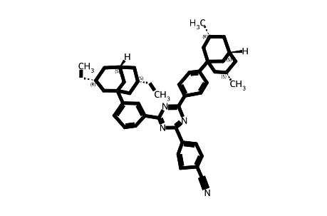 CC[C@@H]1C[C@@H]2C[C@H](CC)CC(c3cccc(-c4nc(-c5ccc(C#N)cc5)nc(-c5ccc(C67C[C@H](C)C[C@H](C[C@H](C)C6)C7)cc5)n4)c3)(C2)C1